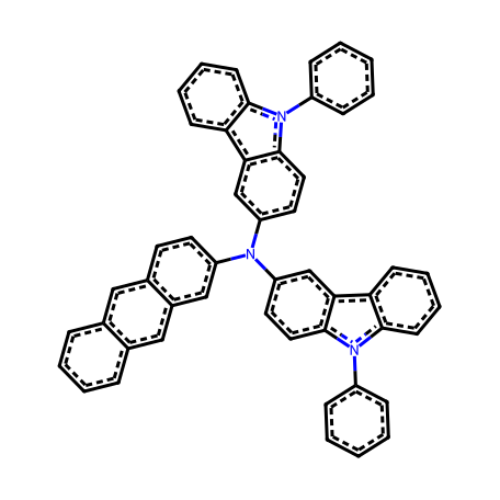 c1ccc(-n2c3ccccc3c3cc(N(c4ccc5cc6ccccc6cc5c4)c4ccc5c(c4)c4ccccc4n5-c4ccccc4)ccc32)cc1